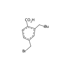 CCC(C)Cc1cc(CBr)ccc1C(=O)O